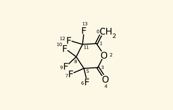 C=C1OC(=O)C(F)(F)C(F)(F)C1(F)F